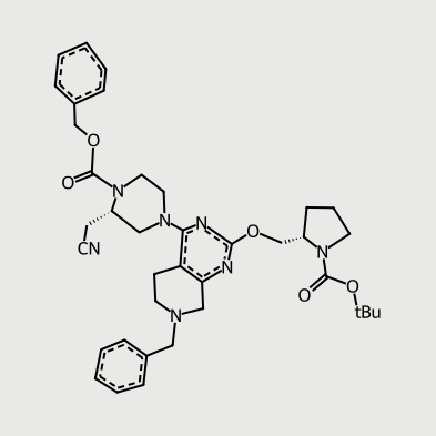 CC(C)(C)OC(=O)N1CCC[C@H]1COc1nc2c(c(N3CCN(C(=O)OCc4ccccc4)[C@@H](CC#N)C3)n1)CCN(Cc1ccccc1)C2